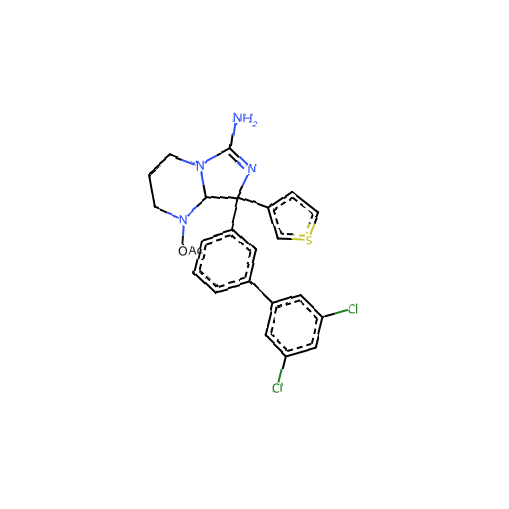 CC(=O)ON1CCCN2C(N)=NC(c3ccsc3)(c3cccc(-c4cc(Cl)cc(Cl)c4)c3)C12